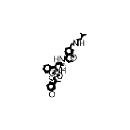 COc1ccc2sc(S(=O)(=O)NC(CC(=O)NC3CCOc4cc(CNCCC(C)C)ccc43)c3ccccc3)c(C)c2c1